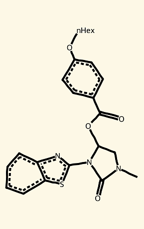 CCCCCCOc1ccc(C(=O)OC2CN(C)C(=O)N2c2nc3ccccc3s2)cc1